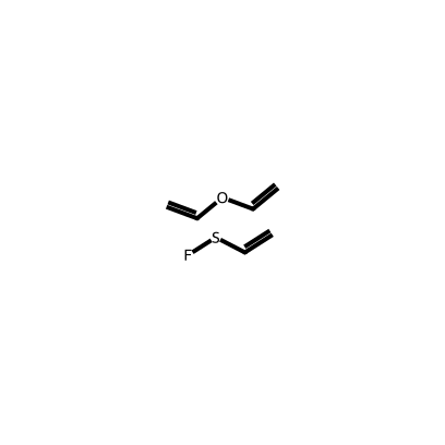 C=COC=C.C=CSF